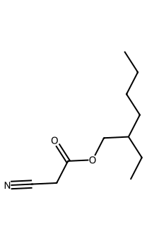 CCCCC(CC)COC(=O)CC#N